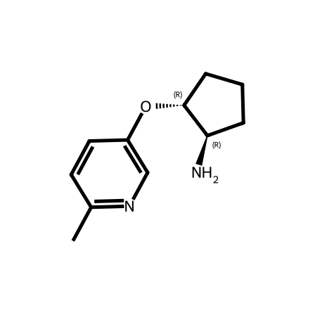 Cc1ccc(O[C@@H]2CCC[C@H]2N)cn1